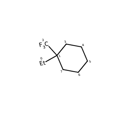 CCC1(C(F)(F)F)CCCCC1